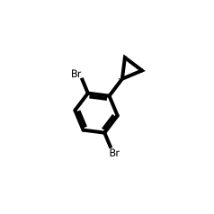 Brc1ccc(Br)c([C]2CC2)c1